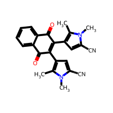 Cc1c(C2=C(c3cc(C#N)n(C)c3C)C(=O)c3ccccc3C2=O)cc(C#N)n1C